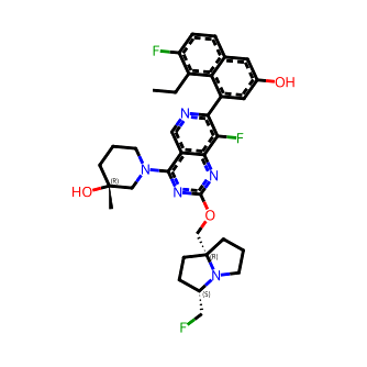 CCc1c(F)ccc2cc(O)cc(-c3ncc4c(N5CCC[C@@](C)(O)C5)nc(OC[C@]56CCCN5[C@H](CF)CC6)nc4c3F)c12